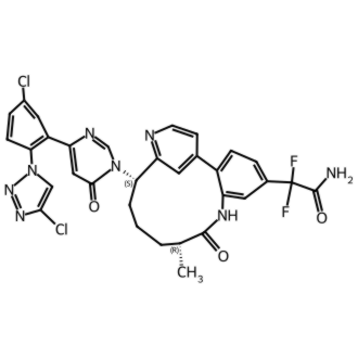 C[C@@H]1CCC[C@H](n2cnc(-c3cc(Cl)ccc3-n3cc(Cl)nn3)cc2=O)c2cc(ccn2)-c2ccc(C(F)(F)C(N)=O)cc2NC1=O